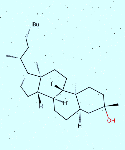 CC[C@@H](C)CC[C@@H](C)[C@H]1CC[C@H]2[C@@H]3CC[C@@H]4C[C@@](C)(O)CC[C@]4(C)[C@H]3CC[C@]12C